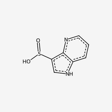 O=S(O)c1c[nH]c2cccnc12